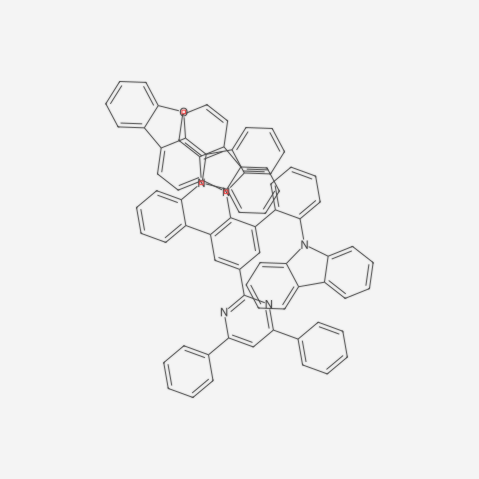 C1=Cc2c(n(-c3ccccc3-c3cc(-c4nc(-c5ccccc5)cc(-c5ccccc5)n4)cc(-c4ccccc4-n4c5ccccc5c5ccccc54)c3-n3c4ccccc4c4c5oc6ccccc6c5ccc43)c3ccccc23)CC1